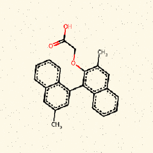 Cc1cc(-c2c(OCC(=O)O)c(C)cc3ccccc23)c2ccccc2c1